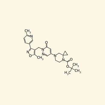 Cc1ccc(-c2noc(C)c2Cn2ncc(N3CCN(C(=O)OC(C)(C)C)C4(CC4)C3)cc2=O)cn1